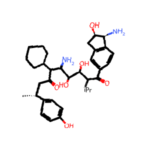 CC(C)C(C(=O)c1ccc2c(c1)C[C@@H](O)[C@H]2N)C(O)C(O)C(N)C(C(=O)C[C@@H](C)c1ccc(O)cc1)C1CCCCC1